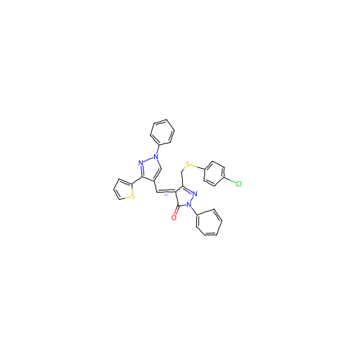 O=C1/C(=C/c2cn(-c3ccccc3)nc2-c2cccs2)C(CSc2ccc(Cl)cc2)=NN1c1ccccc1